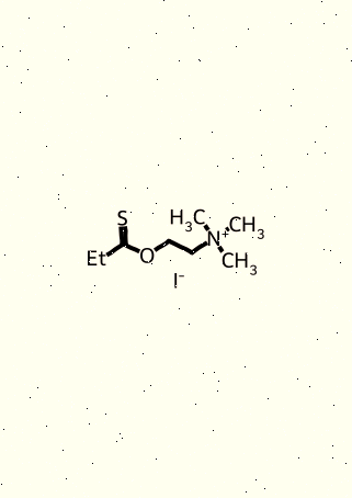 CCC(=S)OCC[N+](C)(C)C.[I-]